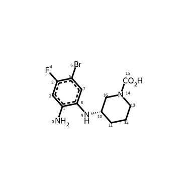 Nc1cc(F)c(Br)cc1N[C@H]1CCCN(C(=O)O)C1